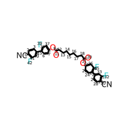 N#Cc1ccc(-c2ccc(OC(=O)CCCCCCCC(=O)Oc3ccc(-c4ccc(C#N)c(F)c4)c(F)c3)cc2F)cc1F